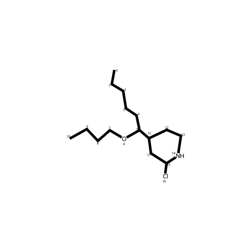 CCCCCC(OCCCC)C1C[CH]NC(Cl)C1